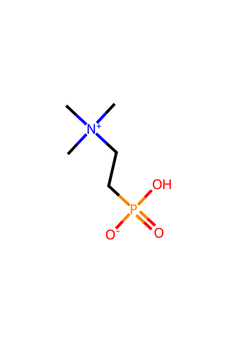 C[N+](C)(C)CCP(=O)([O-])O